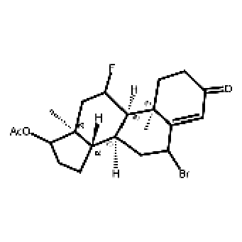 CC(=O)OC1CC[C@H]2[C@@H]3CC(Br)C4=CC(=O)CC[C@]4(C)[C@@H]3C(F)C[C@]12C